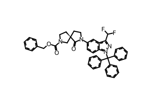 O=C(OCc1ccccc1)N1CC[C@]2(CCN(c3ccc4c(c3)c(C(F)F)nn4C(c3ccccc3)(c3ccccc3)c3ccccc3)C2=O)C1